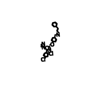 CN(C/C=C/c1ccccc1)Cc1ccc(OC[C@@H]2CO[C@@](Cn3ccnc3)(c3ccc(Cl)cc3Cl)O2)cc1